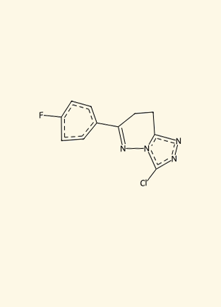 Fc1ccc(C2=Nn3c(Cl)nnc3CC2)cc1